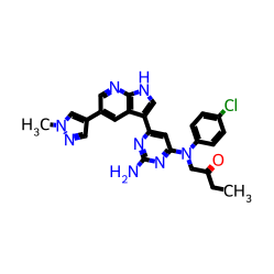 CCC(=O)CN(c1ccc(Cl)cc1)c1cc(-c2c[nH]c3ncc(-c4cnn(C)c4)cc23)nc(N)n1